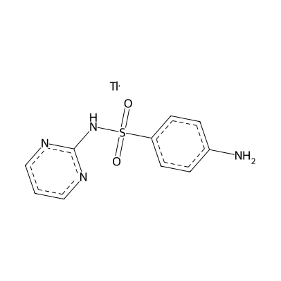 Nc1ccc(S(=O)(=O)Nc2ncccn2)cc1.[Tl]